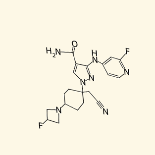 N#CCC1(n2cc(C(N)=O)c(Nc3ccnc(F)c3)n2)CCC(N2CC(F)C2)CC1